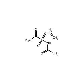 C=C.CC(=O)NS(=O)(=O)C(C)=O